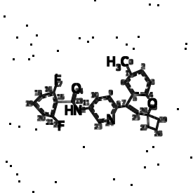 Cc1ccc2c(c1)C(c1ccc(NC(=O)c3c(F)cccc3F)cn1)=CC1(CCC1)O2